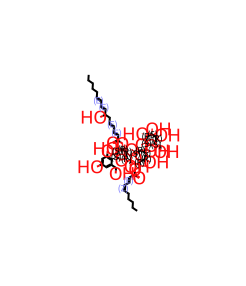 CCCCC/C=C\C=C\C(=O)OC[C@H]1O[C@@H](O[C@H]2[C@H](OC(=O)/C=C/C=C/CC(O)/C=C/C=C/CCCCC)[C@@H](O)[C@H](c3c(O)cc(O)cc3CO)O[C@@H]2CO)[C@H](O[C@@H]2O[C@@H](CO)[C@H](O)[C@H](O)[C@H]2O)[C@@H](O)[C@H]1O